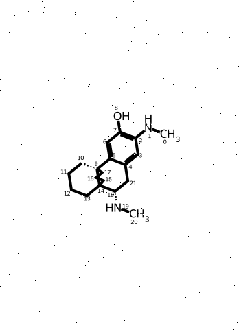 CNc1cc2c(cc1O)[C@]13CCCCC1(CCC3)[C@@H](NC)C2